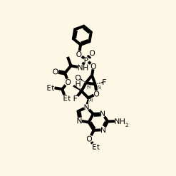 CCOc1nc(N)nc2c1ncn2[C@@H]1O[C@]2(F)C(OP(=O)(NC(C)C(=O)OC(CC)CC)Oc3ccccc3)[C@]2(O)[C@@]1(C)F